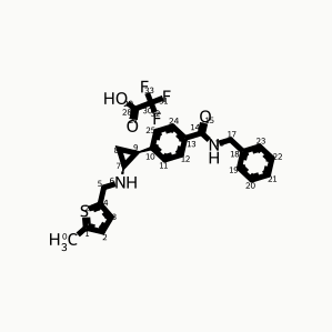 Cc1ccc(CN[C@@H]2C[C@H]2c2ccc(C(=O)NCc3ccccc3)cc2)s1.O=C(O)C(F)(F)F